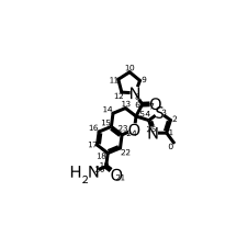 Cc1csc(C2(C(=O)N3CCCC3)CCc3ccc(C(N)=O)cc3O2)n1